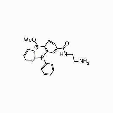 COC(=O)c1ccc(C(=O)NCCN)cc1P(c1ccccc1)c1ccccc1